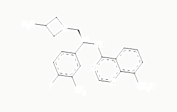 CC1CN(C[C@@H](Nc2ncnc3c(C(=O)O)cccc23)c2ccc(F)c(C(F)(F)F)c2)C1